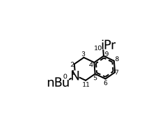 CCCCN1CCc2c(cccc2C(C)C)C1